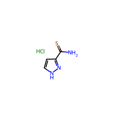 Cl.NC(=S)c1cc[nH]n1